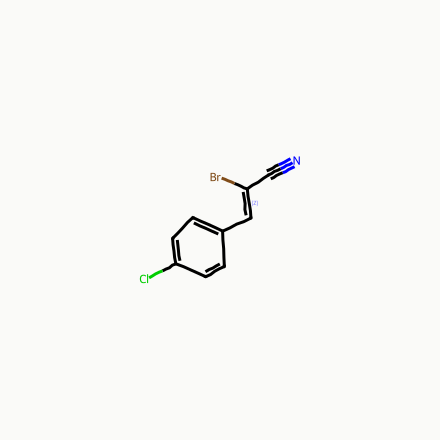 N#C/C(Br)=C/c1ccc(Cl)cc1